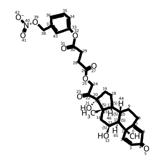 C[C@]12C=CC(=O)C=C1CC[C@@H]1[C@@H]2[C@@H](O)C[C@@]2(C)[C@H]1CC[C@]2(O)C(=O)COC(=O)CCC(=O)Oc1cccc(CO[N+](=O)[O-])c1